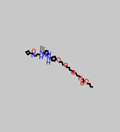 CCCCOC(=O)COCCCOCCCCOCCCOc1ccc(Nc2ncc(Br)c(NCCCN(C)C(=O)C3CCC3)n2)cc1